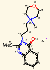 CSc1nc2ccccc2c(=O)n1CCC[N+]1(C)CCOCC1.[I-]